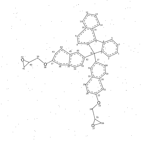 c1ccc2c(c1)-c1c(ccc3ccccc13)C2(c1ccc2cc(OCC3CO3)ccc2c1)c1ccc2cc(OCC3CO3)ccc2c1